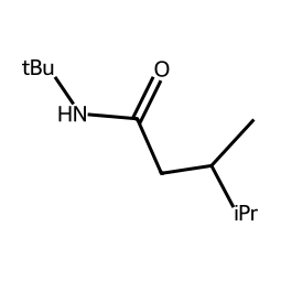 CC(C)C(C)CC(=O)NC(C)(C)C